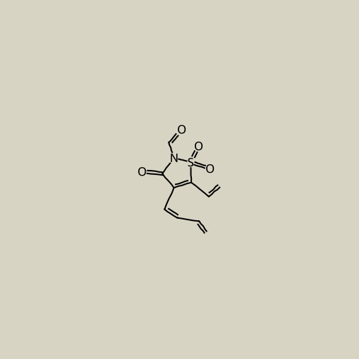 C=C/C=C\C1=C(C=C)S(=O)(=O)N(C=O)C1=O